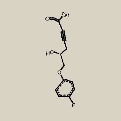 O=C(O)C#CC[C@H](O)COc1ccc(F)cc1